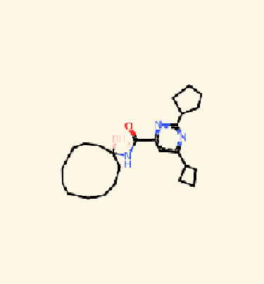 BC1(NC(=O)c2cc(C3CCC3)nc(C3CCCC3)n2)CCCCCCCCCC1